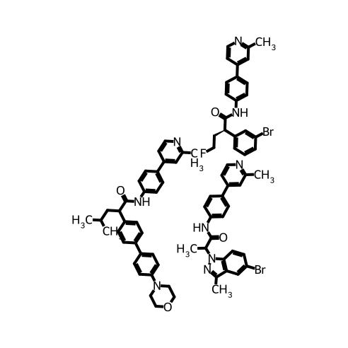 Cc1cc(-c2ccc(NC(=O)C(C)n3nc(C)c4cc(Br)ccc43)cc2)ccn1.Cc1cc(-c2ccc(NC(=O)C(CC(C)C)c3ccc(-c4ccc(N5CCOCC5)cc4)cc3)cc2)ccn1.Cc1cc(-c2ccc(NC(=O)[C@H](CCF)c3cccc(Br)c3)cc2)ccn1